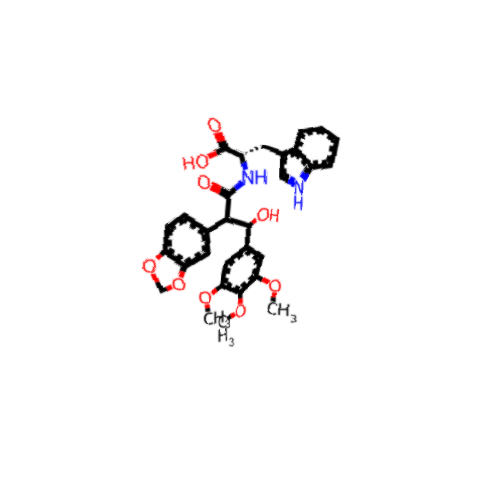 COc1cc(C(O)C(C(=O)N[C@@H](Cc2c[nH]c3ccccc23)C(=O)O)c2ccc3c(c2)OCO3)cc(OC)c1OC